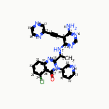 CC(Nc1ncnc(N)c1C#Cc1cnccn1)c1nc2cccc(Cl)c2c(=O)n1-c1cccnc1